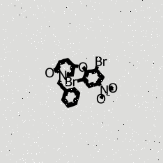 O=c1ccc(Oc2c(Br)cc([N+](=O)[O-])cc2Br)cn1Cc1ccccc1